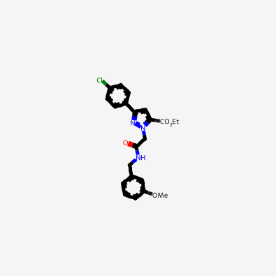 CCOC(=O)c1cc(-c2ccc(Cl)cc2)nn1CC(=O)NCc1cccc(OC)c1